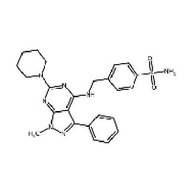 Cn1nc(-c2ccccc2)c2c(NCc3ccc(S(N)(=O)=O)cc3)nc(N3CCCCC3)nc21